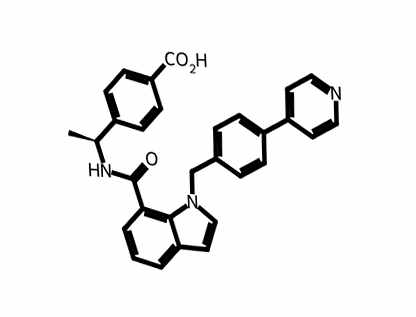 C[C@H](NC(=O)c1cccc2ccn(Cc3ccc(-c4ccncc4)cc3)c12)c1ccc(C(=O)O)cc1